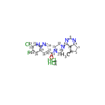 C[C@@H]1CCc2ncnc(N3CCN(C(=O)[C@@H](CN)Cc4ccc(Cl)c(F)c4)CC3)c21.Cl.Cl